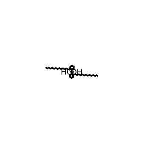 CCCCCCCCCCCCCCc1ccccc1[Si](O)(O)c1ccccc1CCCCCCCCCCCCCC